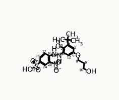 CC(C)(C)c1cc(OCCCO)cc(NNc2ccc(S(=O)(=O)O)cc2[N+](=O)[O-])c1O